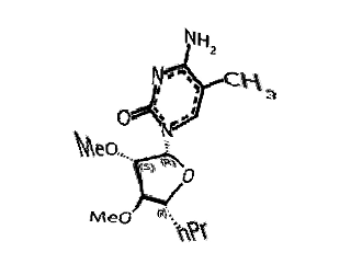 CCC[C@H]1O[C@@H](n2cc(C)c(N)nc2=O)[C@@H](OC)C1OC